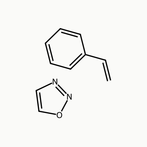 C=Cc1ccccc1.c1conn1